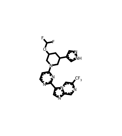 FC(F)OC1CC(c2cn[nH]c2)CN(c2ccnc(-c3cnc4cnc(C(F)(F)F)cn34)n2)C1